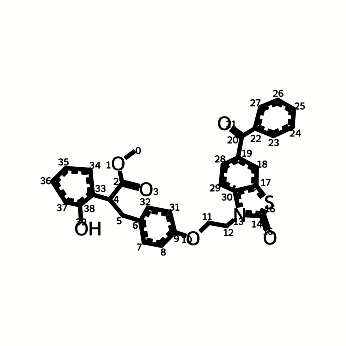 COC(=O)C(Cc1ccc(OCCn2c(=O)sc3cc(C(=O)c4ccccc4)ccc32)cc1)c1ccccc1O